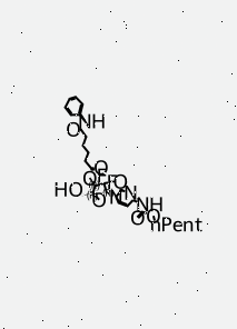 CCCCCOC(=O)Nc1ccn([C@@H]2O[C@H](CO)[C@@H](OC(=O)CCCCC(=O)Nc3ccccc3)C2(F)F)c(=O)n1